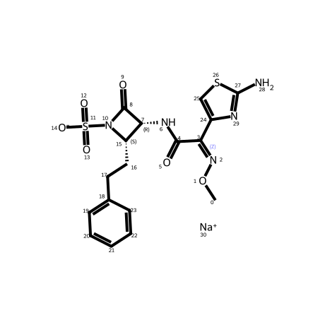 CO/N=C(\C(=O)N[C@H]1C(=O)N(S(=O)(=O)[O-])[C@H]1CCc1ccccc1)c1csc(N)n1.[Na+]